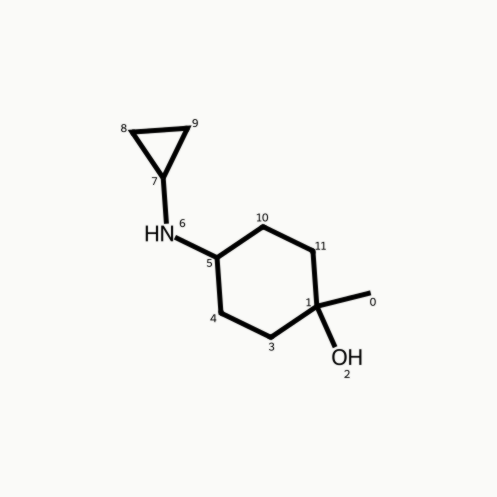 CC1(O)CCC(NC2CC2)CC1